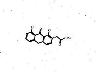 COC(=O)Cc1ccc2c(c1O)C(=O)c1c(O)cccc1C2